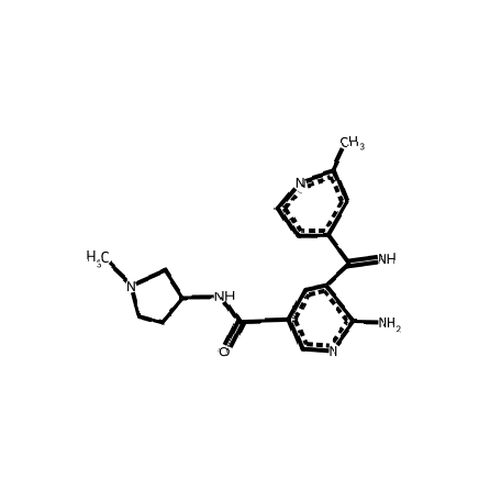 Cc1cc(C(=N)c2cc(C(=O)NC3CCN(C)C3)cnc2N)ccn1